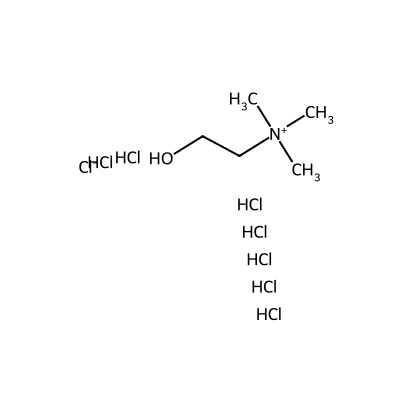 C[N+](C)(C)CCO.Cl.Cl.Cl.Cl.Cl.Cl.Cl.[Cl-]